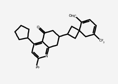 CC(C)c1cc(C2CCCC2)c2c(n1)CC(C1CC3(CC(C(F)(F)F)=CC=C3C=O)C1)CC2=O